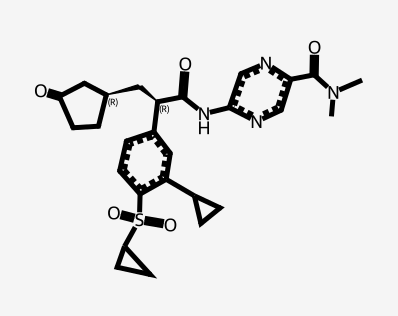 CN(C)C(=O)c1cnc(NC(=O)[C@H](C[C@H]2CCC(=O)C2)c2ccc(S(=O)(=O)C3CC3)c(C3CC3)c2)cn1